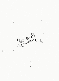 CC(C)C[S+]([O-])CC(C)C